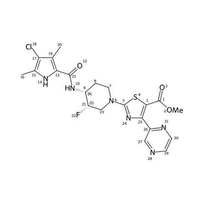 COC(=O)c1sc(N2CC[C@@H](NC(=O)c3[nH]c(C)c(Cl)c3C)[C@@H](F)C2)nc1-c1cnccn1